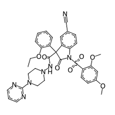 CCOc1ccccc1C1(C(=O)NN2CCN(c3ncccn3)CC2)C(=O)N(S(=O)(=O)c2ccc(OC)cc2OC)c2ccc(C#N)cc21